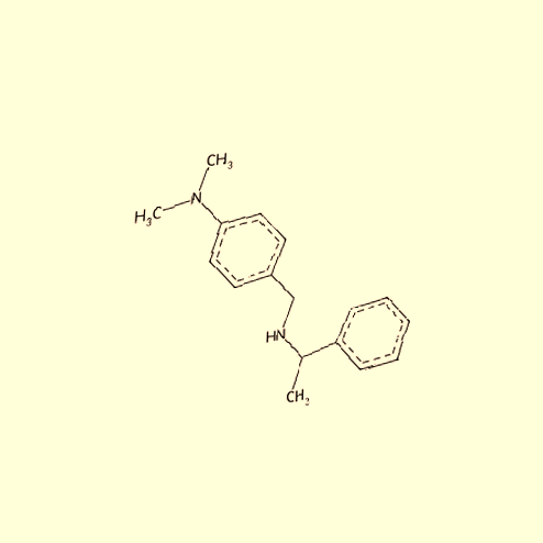 CC(NCc1ccc(N(C)C)cc1)c1ccccc1